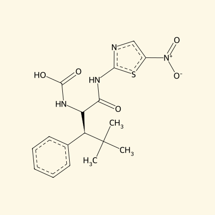 CC(C)(C)[C@@H](c1ccccc1)C(NC(=O)O)C(=O)Nc1ncc([N+](=O)[O-])s1